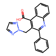 O=C(O)c1c(Cn2nccn2)c(-c2ccccc2)nc2ccccc12